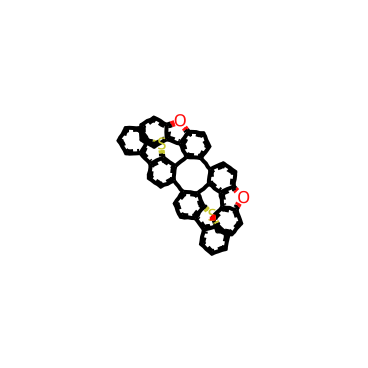 c1ccc2c(c1)oc1ccc3c(c12)-c1c(ccc2c1sc1ccccc12)-c1ccc2c(sc4ccccc42)c1-c1c-3ccc2oc3ccccc3c12